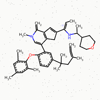 C=C=C(C)CC(C)(C)c1ccc(Oc2c(C)cc(C)cc2C)c(C2=CN(C)C(=C)C3=C2CC(/C(=C/C)NC(C)C2CCOCC2)=C3)c1